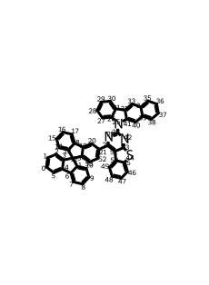 c1ccc2c(c1)-c1ccccc1C21c2ccccc2-c2cc(-c3nc(-n4c5ccccc5c5cc6ccccc6cc54)nc4sc5ccccc5c34)ccc21